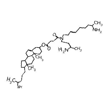 CC(N)CCCCCCCN(CCC(C)N)C(=O)CCC(=O)OC1CCC2(C)C(=CCC3C2CCC2(C)C(CCCC(C)C(C)C)CCC32)C1